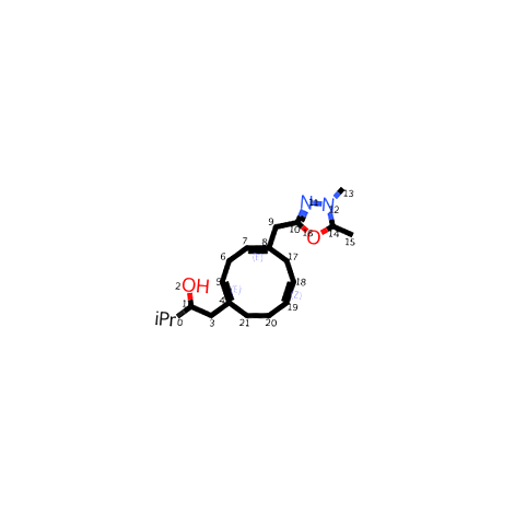 CC(C)C(O)C/C1=C/C/C=C(/CC2=NN(C)C(C)O2)C/C=C\CC1